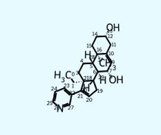 CC[C@]12CC[C@H]3[C@@H]([C@@H](O)C=C4C[C@@H](O)CC[C@@]43C)[C@@H]1CC=C2c1cccnc1